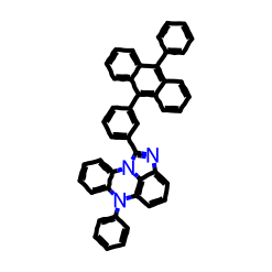 c1ccc(-c2c3ccccc3c(-c3cccc(-c4nc5cccc6c5n4-c4ccccc4N6c4ccccc4)c3)c3ccccc23)cc1